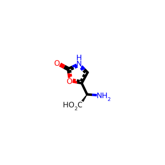 N[C@@H](C(=O)O)c1c[nH]c(=O)o1